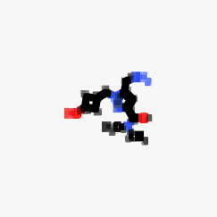 CN(C)C(=O)c1cc(CN)n(CC2CC(O)C2)n1